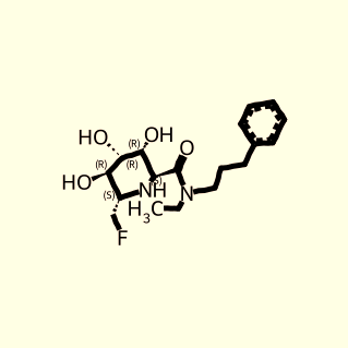 CCN(CCCc1ccccc1)C(=O)[C@H]1N[C@H](CF)[C@@H](O)[C@H](O)[C@@H]1O